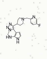 Fc1ccc(CN2CCC(c3nnn4c3-c3cc[nH]c3NC4)CC2)nc1